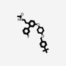 CC(=O)NCCc1ccc(OC2CCC(OCc3ccc(C(C)(C)C)cc3)CC2)cc1-c1cccc(F)c1